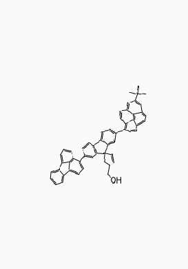 C=CC1(CCCO)c2cc(-c3ccc4c5c(cccc35)-c3ccccc3-4)ccc2-c2ccc(-c3ccc4ccc5cc(C(C)(C)C)cc6ccc3c4c56)cc21